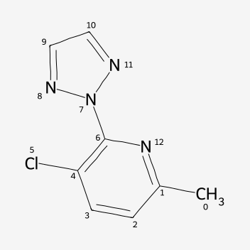 Cc1ccc(Cl)c(-n2nccn2)n1